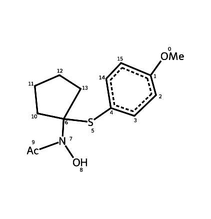 COc1ccc(SC2(N(O)C(C)=O)CCCC2)cc1